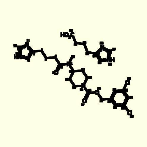 CN(C(=O)CCCc1c[nH]nn1)C1CCN(C(=O)OCc2cc(Cl)cc(Cl)c2)CC1.O=C(O)CCCc1c[nH]nn1